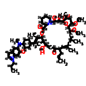 C=CCC1/C=C(\C)CC(C)CC(OC)C2OC(O)(C(=O)C(=O)N3CCCCC3C(=O)OC(C(C)=CC3CCC(N(C)c4ccc5c(ccn5CCC)c4)C(O)C3)C(C)C(O)CC1=O)C(C)CC2OC